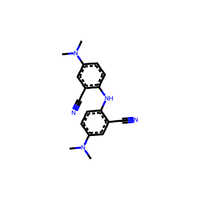 CN(C)c1ccc(Nc2ccc(N(C)C)cc2C#N)c(C#N)c1